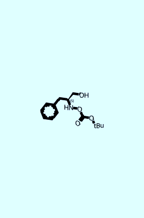 CC(C)(C)OC(=O)ON[C@H](CO)Cc1ccccc1